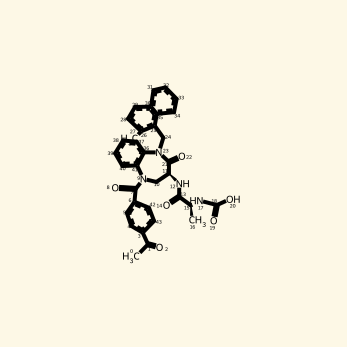 CC(=O)c1ccc(C(=O)N2C[C@H](NC(=O)[C@H](C)NC(=O)O)C(=O)N(Cc3c(C)ccc4ccccc34)c3ccccc32)cc1